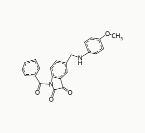 COc1ccc(NCc2ccc3c(c2)C(=O)C(=O)N3C(=O)c2ccccc2)cc1